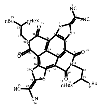 [C-]#[N+]C([N+]#[C-])=c1sc2c(s1)c1c(=O)n(CC(CCCC)CCCCCC)c(=O)c3c4sc(=C(C#N)C#N)sc4c4c(=O)n(CC(CCCC)CCCCCC)c(=O)c2c4c31